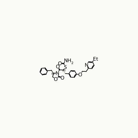 CCc1ccc(CCOc2ccc(C[C@@H](SC(N)=O)C(=O)N3C(=O)OC[C@H]3Cc3ccccc3)cc2)nc1